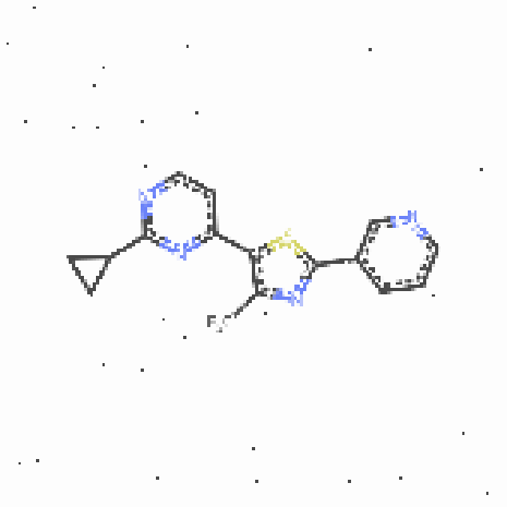 FC(F)(F)c1nc(-c2cccnc2)sc1-c1ccnc(C2CC2)n1